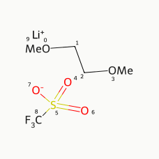 COCCOC.O=S(=O)([O-])C(F)(F)F.[Li+]